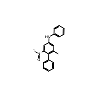 O=[N+]([O-])c1cc(Nc2ccccc2)cc(F)c1-c1ccccc1